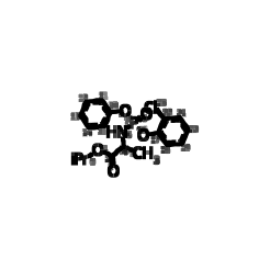 CC(C)OC(=O)[C@H](C)NP(=O)(Oc1ccccc1)Oc1ccccc1Cl